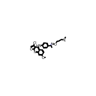 COc1ccc2c(Nc3ccc(/C(C)=N/OCCCN(C)C)cc3)c3c(Cl)coc3nc2c1